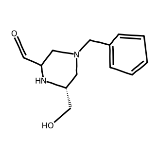 O=CC1CN(Cc2ccccc2)C[C@H](CO)N1